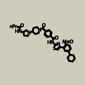 CCCC(=O)NC1CCN(C2CCN(C(=O)c3ccc(C(=O)Nc4nc(-c5cc(C6CCCCC6)ccc5OC)cs4)cc3)CC2)C1